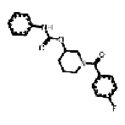 O=C(Nc1ccccc1)OC1CCCN(C(=O)c2ccc(F)cc2)C1